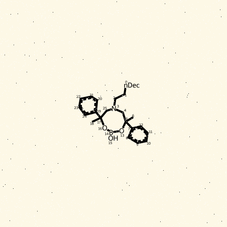 CCCCCCCCCCCCN1CC(C)(c2ccccc2)OB(O)OC(C)(c2ccccc2)C1